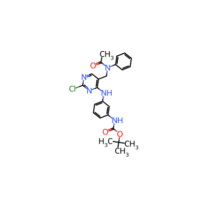 CC(=O)N(Cc1cnc(Cl)nc1Nc1cccc(NC(=O)OC(C)(C)C)c1)c1ccccc1